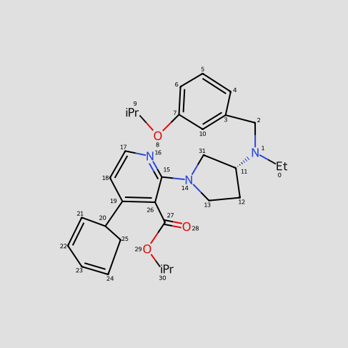 CCN(Cc1cccc(OC(C)C)c1)[C@@H]1CCN(c2nccc(C3C=CC=CC3)c2C(=O)OC(C)C)C1